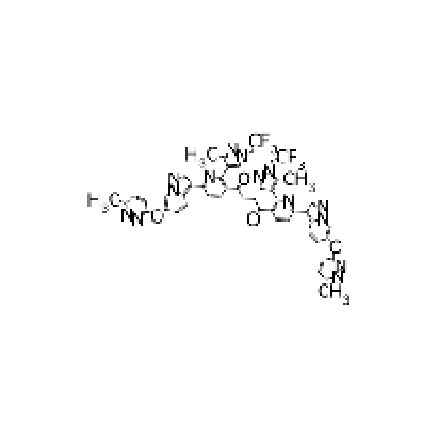 Cc1ccc(Oc2ccc3c(-c4ccc(C(=O)CCC(=O)c5ccc(-c6cnn7cc(Oc8ccc(C)nn8)ccc67)nc5-c5cnn(CC(F)(F)F)c5C)c(-c5cn(CC(F)(F)F)nc5C)n4)cnn3c2)nn1